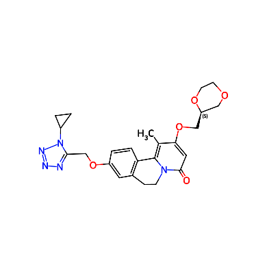 Cc1c(OC[C@@H]2COCCO2)cc(=O)n2c1-c1ccc(OCc3nnnn3C3CC3)cc1CC2